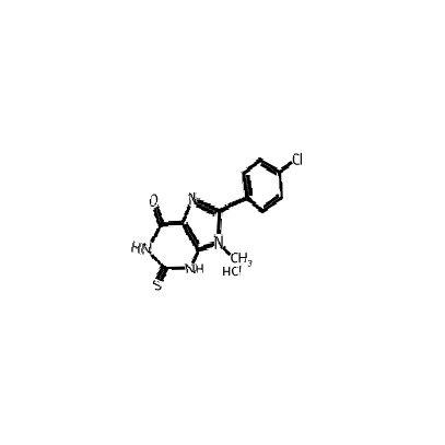 Cl.Cn1c(-c2ccc(Cl)cc2)nc2c(=O)[nH]c(=S)[nH]c21